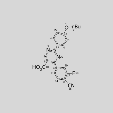 CCCCOc1ccc(-c2ncc(C(=O)O)c(-c3ccc(C#N)c(F)c3)n2)cc1